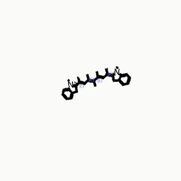 C\C(=C/C(C)=C(C)/C(C)=C/C(C)=C1\Cc2ccccc2N1C)C1=[N+](C)c2ccccc2C1